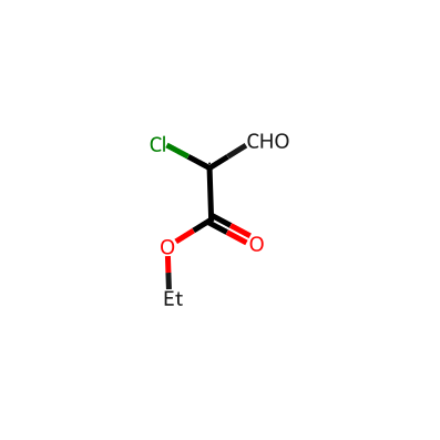 CCOC(=O)[C](Cl)C=O